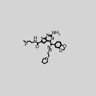 CN(C)CCNC(=O)c1cc2c(C(=NOCCN3CCCC3)c3ccc4c(c3)OCO4)nc(N)nc2s1